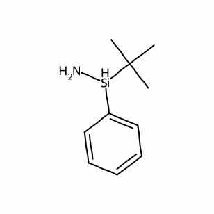 CC(C)(C)[SiH](N)c1ccccc1